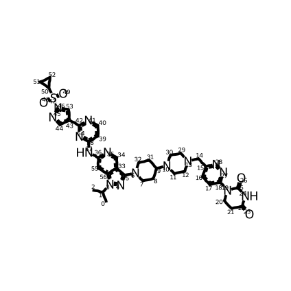 CC(C)n1nc(N2CCC(N3CCN(Cc4ccc(N5CCC(=O)NC5=O)nn4)CC3)CC2)c2cnc(Nc3ccnc(-c4cnn(S(=O)(=O)C5CC5)c4)n3)cc21